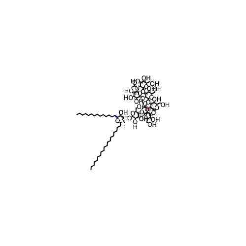 CCCCCCCCCCCCC/C=C/[C@@H](O)[C@H](CO[C@@H]1OC(CO)[C@@H](O[C@@H]2OC(CO)[C@H](O)[C@H](O[C@@H]3OC(CO)[C@@H](O)[C@H](O[C@@H]4OC(CO)[C@H](O)[C@H](O[C@H]5OC(CO)[C@H](O)[C@H](O)C5NC(C)=O)C4O[C@H]4OC(C)[C@@H](O)C(O)[C@@H]4O)C3NC(C)=O)C2O)[C@H](O)C1O)NC(=O)CCCCCCCCCCCCCCCCCCC